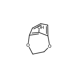 Oc1c2cccc1OCCO2